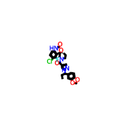 CCC(c1ccc2c(c1)OCO2)n1cc(C(=O)N2CCC[C@@]3(C2)OC(=O)Nc2ccc(Cl)c(F)c23)cn1